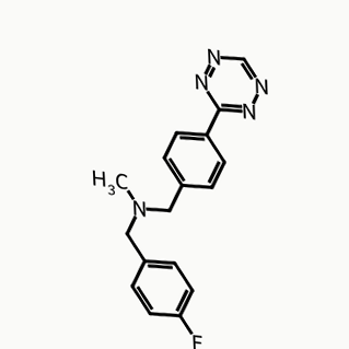 CN(Cc1ccc(F)cc1)Cc1ccc(-c2nncnn2)cc1